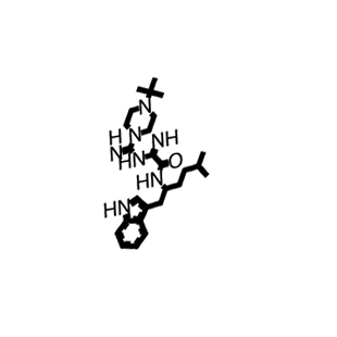 CC(C)CCC(Cc1c[nH]c2ccccc12)NC(=O)C(=N)NC(=N)N1CCN(C(C)(C)C)CC1